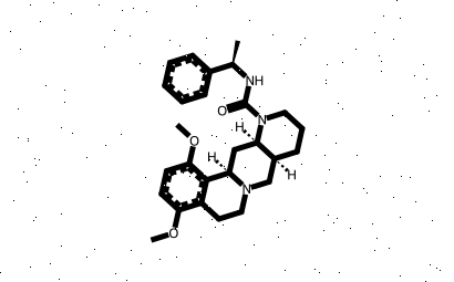 COc1ccc(OC)c2c1CCN1C[C@@H]3CCCN(C(=O)N[C@H](C)c4ccccc4)[C@@H]3C[C@H]21